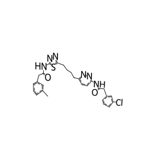 Cc1cccc(CC(=O)Nc2nnc(CCCCc3ccc(NC(=O)Cc4cccc(Cl)c4)nn3)s2)c1